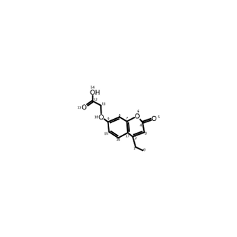 CCc1cc(=O)oc2cc(OCC(=O)O)ccc12